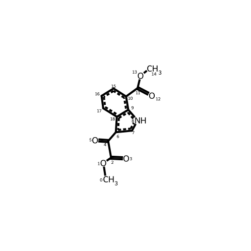 COC(=O)C(=O)c1c[nH]c2c(C(=O)OC)cccc12